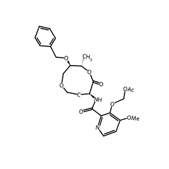 COc1ccnc(C(=O)N[C@H]2CCOC[C@@H](OCc3ccccc3)[C@H](C)OC2=O)c1OCOC(C)=O